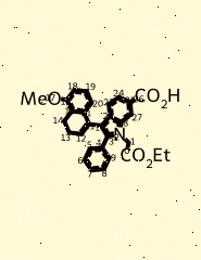 CCOC(=O)Cn1c(-c2ccccc2)c(C2=CCCc3c(OC)cccc32)c2ccc(C(=O)O)cc21